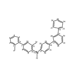 Cc1ccccc1-c1ccc(N(C)c2ccc(-c3cccc(-c4ccccc4)c3)cc2)c(C)c1